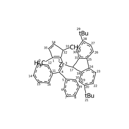 CC1=[C]([Zr](=[C](c2ccccc2)c2ccccc2)[CH]2c3cc(C(C)(C)C)ccc3-c3ccc(C(C)(C)C)cc32)C(C)C=C1